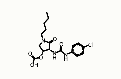 CCCCCN1C[C@H](OC(=O)O)[C@H](NC(=O)Nc2ccc(Cl)cc2)C1=O